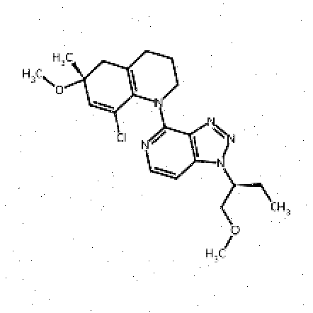 CC[C@@H](COC)n1nnc2c(N3CCCC4=C3C(Cl)=C[C@](C)(OC)C4)nccc21